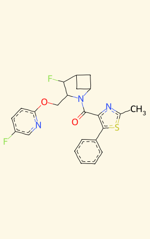 Cc1nc(C(=O)N2C3CC(C3)C(F)C2COc2ccc(F)cn2)c(-c2ccccc2)s1